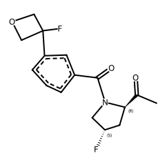 CC(=O)[C@H]1C[C@H](F)CN1C(=O)c1cccc(C2(F)COC2)c1